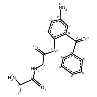 C[C@H](N)C(=O)NCC(=O)Nc1ccc([N+](=O)[O-])cc1C(=O)c1ccccc1